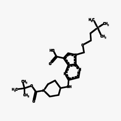 CC(C)(C)OC(=O)N1CCC(Nc2cnc3c(n2)c(C(=O)O)cn3COCC[Si](C)(C)C)CC1